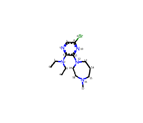 CCN(CC)c1ncc(Br)nc1N1CCCN(C)CC1